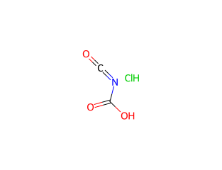 Cl.O=C=NC(=O)O